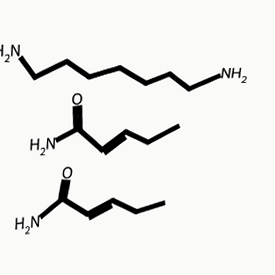 CCC=CC(N)=O.CCC=CC(N)=O.NCCCCCCCN